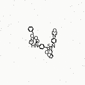 O=C(Nc1ccc(C2S/C(=N\c3ccc(N4CCOCC4)cc3)N(CC3=CCCO3)C2=O)cc1)[C@@H]1CCCN1C(=O)OCc1ccccc1